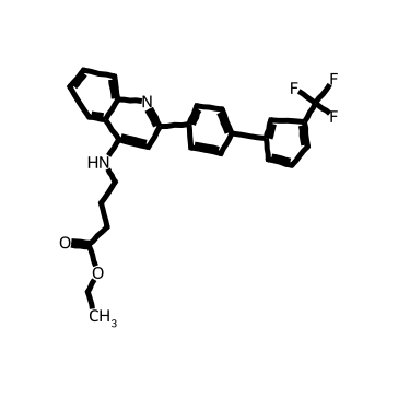 CCOC(=O)CCCNc1cc(-c2ccc(-c3cccc(C(F)(F)F)c3)cc2)nc2ccccc12